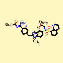 COC(=O)CN(c1ccc2c(c1)nc(Cc1ccc(C(N)=NC(=O)OCC(C)C)cc1)n2C)S(=O)(=O)c1cccc2cccnc12